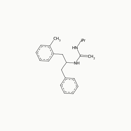 C=C(NC(C)C)NC(Cc1ccccc1)Cc1ccccc1C